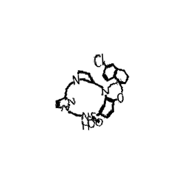 O=S1(=O)NCCn2ccc(n2)CCN2CCC(C2)CN2C[C@@]3(CCCc4cc(Cl)ccc43)COc3ccc1cc32